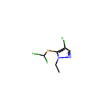 CCn1n[c]c(F)c1SC(F)F